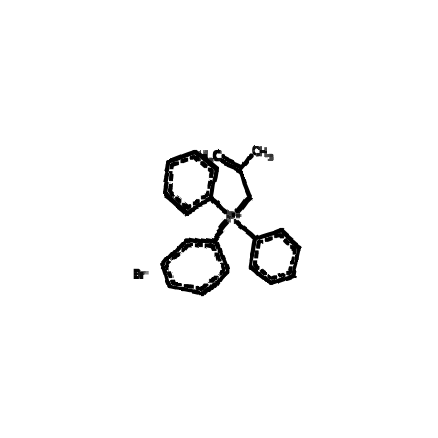 C=C(C)C[P+](c1ccccc1)(c1ccccc1)c1ccccc1.[Br-]